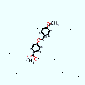 COC(=O)c1ccc(OCc2ccc(OC)cc2)cc1